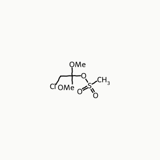 COC(CCl)(OC)OS(C)(=O)=O